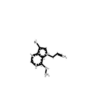 C=CCn1cc(Br)c2ncnc(OC)c21